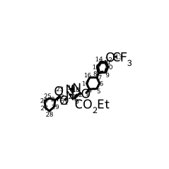 CCOC(=O)c1c(OC2CCC(c3ccc(OC(F)(F)F)cc3)CC2)nnn1OC(=O)C1CCCCC1